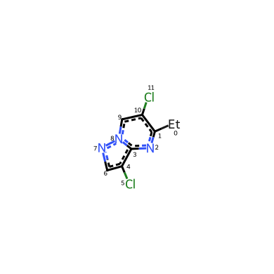 CCc1nc2c(Cl)cnn2cc1Cl